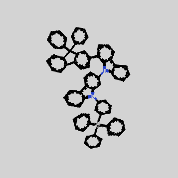 c1ccc(C2(c3ccccc3)c3ccccc3-c3ccc(-c4cccc5c6ccccc6n(-c6ccc7c8ccccc8n(-c8cccc([Si](c9ccccc9)(c9ccccc9)c9ccccc9)c8)c7c6)c45)cc32)cc1